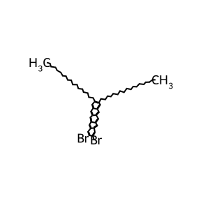 CCCCCCCCCCCCCCCCCCc1cc2cc3cc4cc5cc(Br)c(Br)cc5cc4cc3cc2cc1CCCCCCCCCCCCCCCCCC